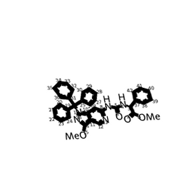 COC(=O)[C@@H](NC(=O)Nc1cc2c(cn1)c(OC)nn2C(c1ccccc1)(c1ccccc1)c1ccccc1)c1ccccc1